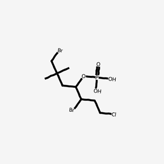 CC(C)(CBr)CC(OP(=O)(O)O)C(Br)CCCl